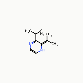 CC(C)=C1NC=CN=C1C(C)C